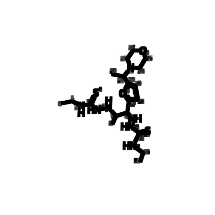 CCNC(=S)NNC(C)C(NNC(=S)NCC)c1ccc(C(C)N2CCOCC2)o1